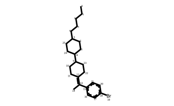 CCCCCC1CCC(C2CCC(=C(C)c3ccc(Br)cc3)CC2)CC1